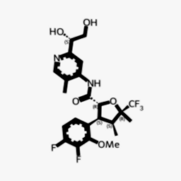 COc1c([C@H]2[C@H](C(=O)Nc3cc([C@H](O)CO)ncc3C)O[C@@](C)(C(F)(F)F)[C@H]2C)ccc(F)c1F